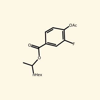 CCCCCCC(C)OC(=O)c1ccc(OC(C)=O)c(F)c1